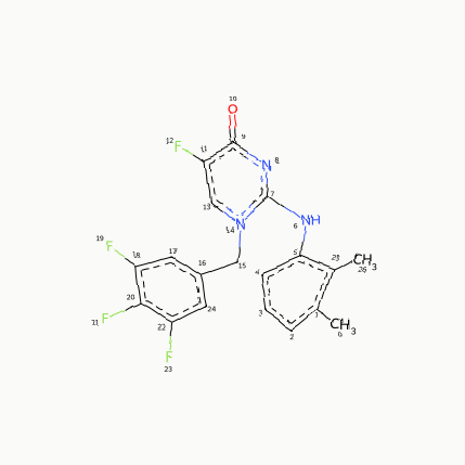 Cc1cccc(Nc2nc(=O)c(F)cn2Cc2cc(F)c(F)c(F)c2)c1C